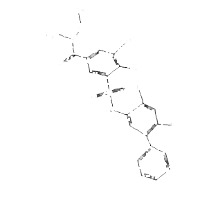 CON(C)C(=O)c1cc(Cl)c(O)c(S(=O)(=O)Nc2cc(-c3ccccc3)c(F)cc2F)c1